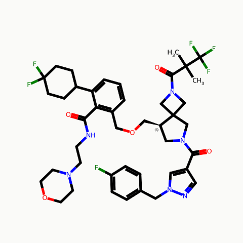 CC(C)(C(=O)N1CC2(CN(C(=O)c3cnn(Cc4ccc(F)cc4)c3)C[C@H]2COCc2cccc(C3CCC(F)(F)CC3)c2C(=O)NCCN2CCOCC2)C1)C(F)(F)F